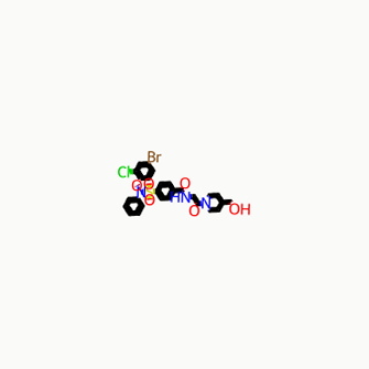 O=C(NCC(=O)N1CCC(CO)CC1)c1ccc(S(=O)(=O)N(Oc2ccc(Br)cc2Cl)c2ccccc2)cc1